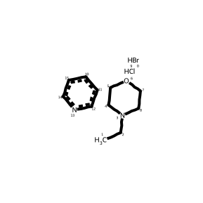 Br.CCN1CCOCC1.Cl.c1ccncc1